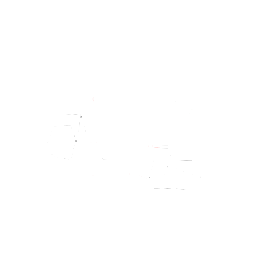 CC(F)(F)COC(=O)C12CC3CC(CC(OCC(=O)OC45CC6CC(CC(O)(C6)C4)C5)(C3)C1)C2